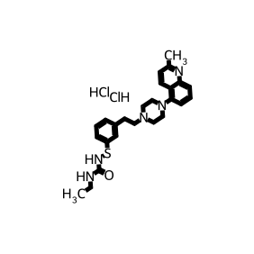 CCNC(=O)NSc1cccc(CCN2CCN(c3cccc4nc(C)ccc34)CC2)c1.Cl.Cl